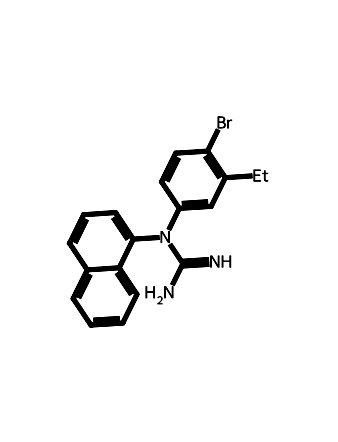 CCc1cc(N(C(=N)N)c2cccc3ccccc23)ccc1Br